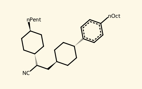 CCCCCCCCc1ccc([C@H]2CC[C@H](CC(C#N)[C@H]3CC[C@H](CCCCC)CC3)CC2)cc1